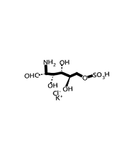 N[C@@H](C=O)[C@@H](O)[C@H](O)[C@H](O)COS(=O)(=O)O.[Cl-].[K+]